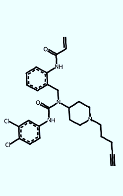 C#CCCCN1CCC(N(Cc2ccccc2NC(=O)C=C)C(=O)Nc2ccc(Cl)c(Cl)c2)CC1